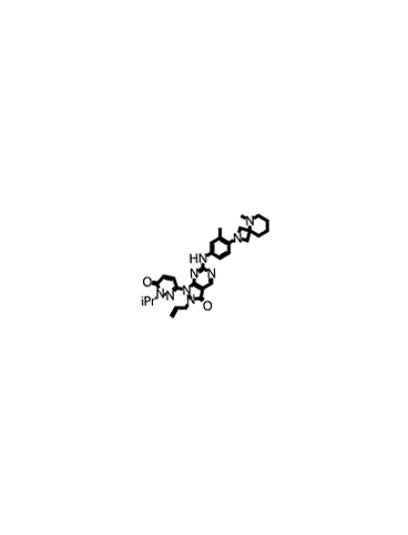 C=CCn1c(=O)c2cnc(Nc3ccc(N4CC5(CCCCN5C)C4)c(C)c3)nc2n1-c1ccc(=O)n(C(C)C)n1